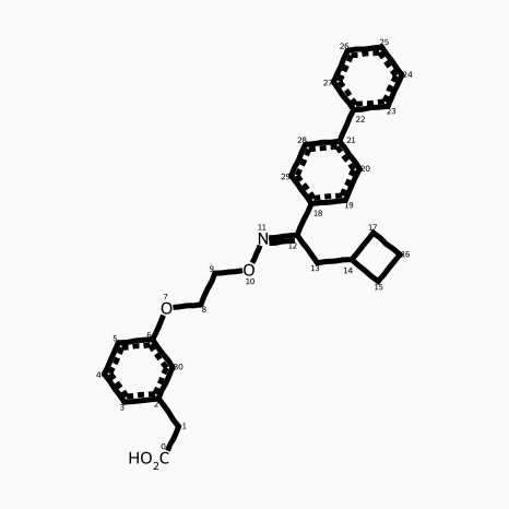 O=C(O)Cc1cccc(OCCO/N=C(\CC2CCC2)c2ccc(-c3ccccc3)cc2)c1